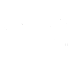 CCN1C(SCC2=C(C(=O)O)N3C(=O)C(N)[C@@H]3SC2)=NC(N)=CC1N